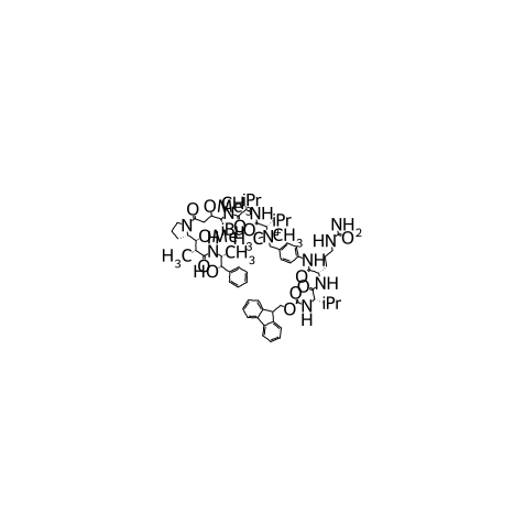 CC[C@H](C)[C@@H]([C@@H](CC(=O)N1CCC[C@H]1[C@H](OC)[C@@H](C)C(=O)N[C@H](C)[C@@H](O)c1ccccc1)OC)N(C)C(=O)[C@@H](NC(=O)[C@H](C(C)C)[N+](C)(C)Cc1ccc(NC(=O)[C@H](CCCNC(N)=O)NC(=O)[C@@H](NC(=O)OCC2c3ccccc3-c3ccccc32)C(C)C)cc1)C(C)C